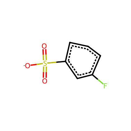 [O]S(=O)(=O)c1cccc(F)c1